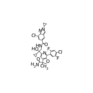 C[C@]1(C(N)=O)COc2c1cc(C(O)(CNC(=O)c1cc(Cl)c3nn(C4CC4)cc3c1)C1CC1)nc2-c1cc(F)c(Cl)cc1F